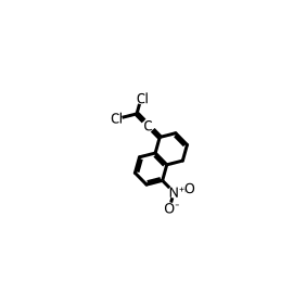 O=[N+]([O-])c1cccc2c1CC=CC2=C=C(Cl)Cl